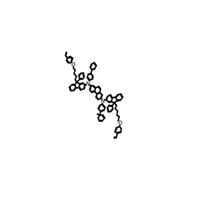 C=CC1=C=C=C(OCCCCCC2(c3ccccc3)c3ccccc3-c3ccc(N(c4ccc(-c5ccccc5)cc4)c4ccc5c(ccc6cc(N(c7ccc(C8(C)C=CC=CC8)cc7)c7ccc8c(c7)C(CCCCCCOC7C=CC(C=C)=CC7)(c7ccccc7)c7ccccc7-8)ccc65)c4)cc32)C=C1